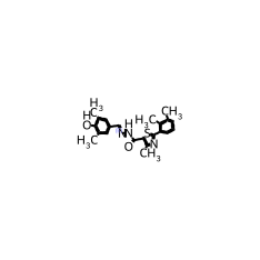 Cc1cccc(-c2nc(C)c(C(=O)N/N=C/c3cc(C)c(O)c(C)c3)s2)c1C